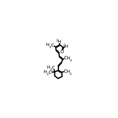 [2H]C(=O)C([2H])=C(C)C=CC=C(C)C=CC1=C(C)CCCC1(C)C